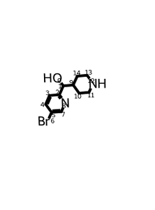 OC(c1ccc(Br)cn1)C1CCNCC1